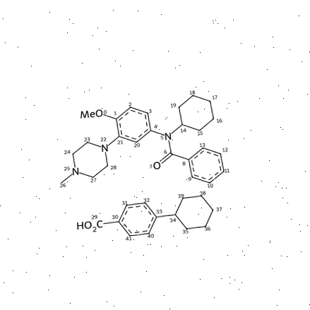 COc1ccc(N(C(=O)c2ccccc2)C2CCCCC2)cc1N1CCN(C)CC1.O=C(O)c1ccc(C2CCCCC2)cc1